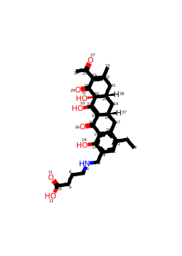 CCc1cc(CNCCCC(=O)O)c(O)c2c1C[C@H]1C[C@H]3CC(C)=C(C(C)=O)C(=O)[C@@]3(O)C(O)=C1C2=O